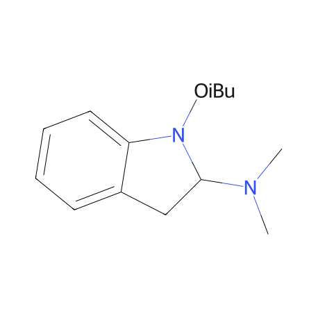 CC(C)CON1c2ccccc2CC1N(C)C